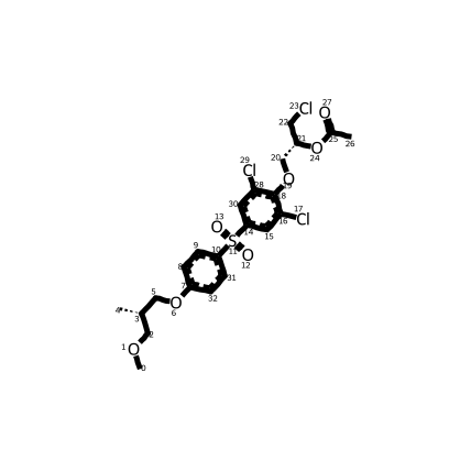 COC[C@H](C)COc1ccc(S(=O)(=O)c2cc(Cl)c(OC[C@H](CCl)OC(C)=O)c(Cl)c2)cc1